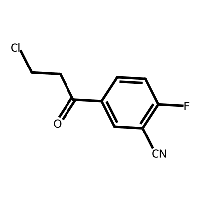 N#Cc1cc(C(=O)CCCl)ccc1F